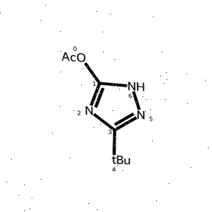 CC(=O)Oc1nc(C(C)(C)C)n[nH]1